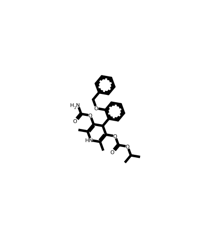 CC1=C(OC(N)=O)C(c2ccccc2OCc2ccccc2)C(OC(=O)OC(C)C)=C(C)N1